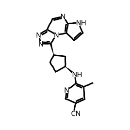 Cc1cc(C#N)cnc1N[C@H]1CC[C@@H](c2nnc3cnc4[nH]ccc4n23)C1